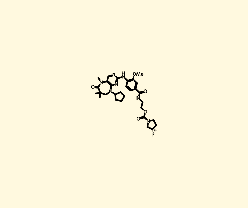 COc1cc(C(=O)NCCOC(=O)N2CC[C@@H](F)C2)ccc1Nc1ncc2c(n1)N(C1CCCC1)CC(C)(C)C(=O)N2C